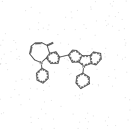 C=C1/C=C\C=C/CN(c2ccccc2)c2ccc(-c3ccc4c5ccccc5n(-c5ccccc5)c4c3)cc21